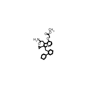 COC(=O)COc1cccn2c(Cc3ccccc3-c3ccccc3)c(C3CC3)c(CC(N)=O)c12